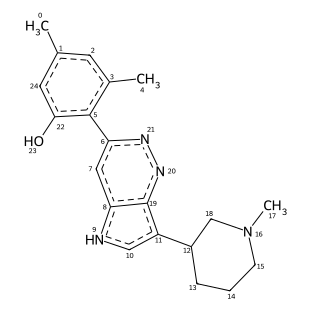 Cc1cc(C)c(-c2cc3[nH]cc(C4CCCN(C)C4)c3nn2)c(O)c1